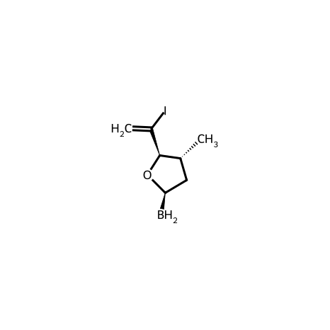 B[C@@H]1C[C@@H](C)[C@H](C(=C)I)O1